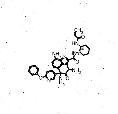 C=CC(=O)N[C@H]1CCCC[C@H]1NC(=O)c1sc2c(N)ccc3c2c1C(N)C(=O)C3(N)c1ccc(Oc2ccccc2)nc1